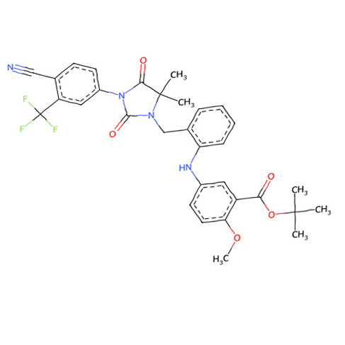 COc1ccc(Nc2ccccc2CN2C(=O)N(c3ccc(C#N)c(C(F)(F)F)c3)C(=O)C2(C)C)cc1C(=O)OC(C)(C)C